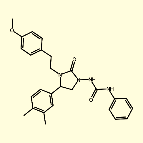 COc1ccc(CCN2C(=O)N(NC(=O)Nc3ccccc3)CC2c2ccc(C)c(C)c2)cc1